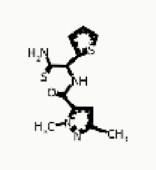 Cc1cc(C(=O)NC(C(N)=S)c2cccs2)n(C)n1